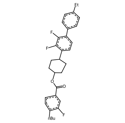 CCCCc1ccc(C(=O)OC2CCC(c3ccc(-c4ccc(CC)cc4)c(F)c3F)CC2)cc1F